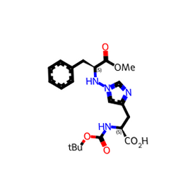 COC(=O)[C@H](Cc1ccccc1)Nn1cnc(C[C@H](NC(=O)OC(C)(C)C)C(=O)O)c1